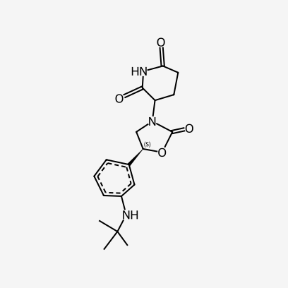 CC(C)(C)Nc1cccc([C@H]2CN(C3CCC(=O)NC3=O)C(=O)O2)c1